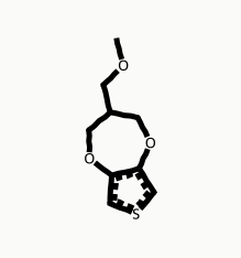 COCC1COc2cscc2OC1